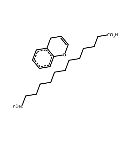 C1=COc2ccccc2C1.CCCCCCCCCCCCCCCCCCCCCC(=O)O